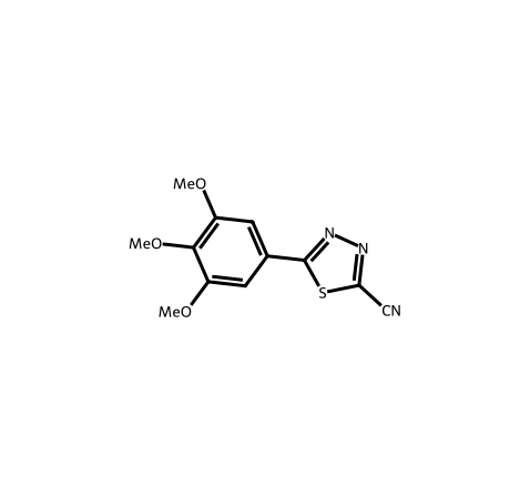 COc1cc(-c2nnc(C#N)s2)cc(OC)c1OC